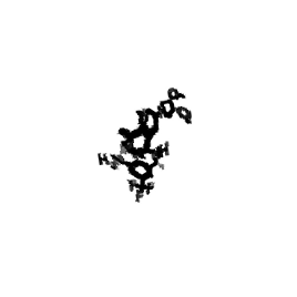 CO[C@H]1CN(c2cnc3c(C)nnc(N[C@H](C)c4cc(N)cc(C(F)(F)F)c4)c3c2)C[C@H]1OC